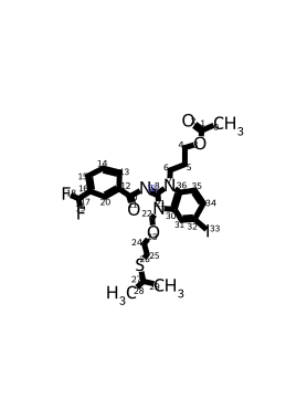 CC(=O)OCCCn1/c(=N/C(=O)c2cccc(C(F)F)c2)n(COCCSC(C)C)c2cc(I)ccc21